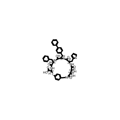 O=C(O)[C@@H]1Cc2ccc(cc2)NC(=O)[C@H](O)[C@@H](O)C(=O)N[C@H](Cc2cccs2)C(=O)N[C@H](Cc2ccc(-c3ccccc3)cc2)C(=O)N[C@H](Cc2ccccc2)C(=O)N1